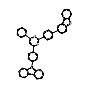 c1ccc(-c2cc(-c3ccc(-n4c5ccccc5c5ccccc54)cc3)nc(-c3ccc(-c4ccc5sc6ccccc6c5c4)cc3)n2)cc1